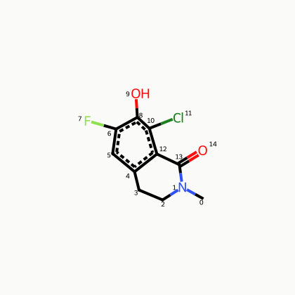 CN1CCc2cc(F)c(O)c(Cl)c2C1=O